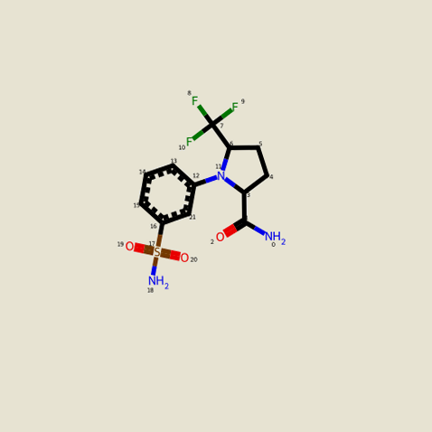 NC(=O)C1CCC(C(F)(F)F)N1c1cccc(S(N)(=O)=O)c1